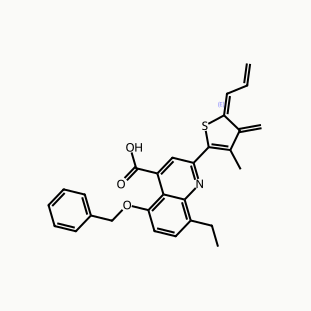 C=C/C=c1/sc(-c2cc(C(=O)O)c3c(OCc4ccccc4)ccc(CC)c3n2)c(C)c1=C